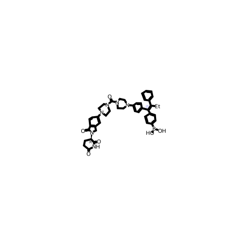 CC/C(=C(\c1ccc(B(O)O)cc1)c1ccc(N2CCN(C(=O)N3CCN(c4ccc5c(c4)CN([C@@H]4CCC(=O)NC4=O)C5=O)CC3)CC2)cc1)c1ccccc1